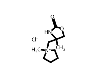 CC1(C[N+]2(C)CCCC2)COC(=O)N1.[Cl-]